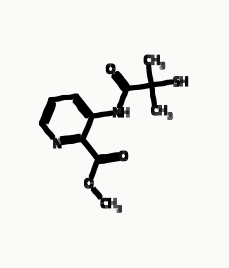 COC(=O)c1ncccc1NC(=O)C(C)(C)S